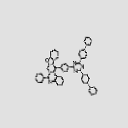 c1ccc(-c2ccc(-c3nc(-c4ccc(-c5ccccc5)cc4)nc(-c4ccc(-c5c6c(cc7c(-c8ccccc8)nc8ccccc8c57)oc5ccccc56)cc4)n3)cc2)cc1